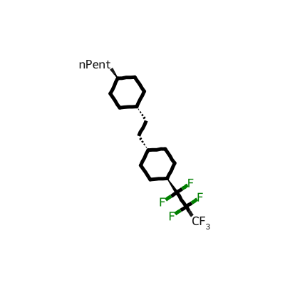 CCCCC[C@H]1CC[C@H](CC[C@H]2CC[C@H](C(F)(F)C(F)(F)C(F)(F)F)CC2)CC1